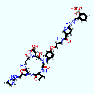 CC(C)C1NC(=O)[C@@H](Cc2ccc(OCCCNC(=O)c3ccc(N/N=C/c4ccccc4S(=O)(=O)O)nc3)cc2)NC(=O)[C@H](CC(=O)O)NC(=O)CNC(=O)[C@H](CCCNC2=NCCN2)NC1=O